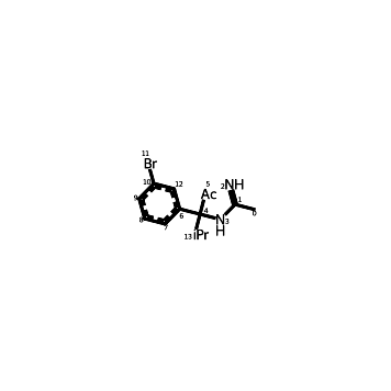 CC(=N)NC(C(C)=O)(c1cccc(Br)c1)C(C)C